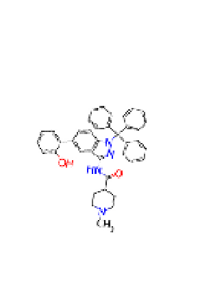 CN1CCC(C(=O)Nc2nn(C(c3ccccc3)(c3ccccc3)c3ccccc3)c3ccc(-c4ccccc4O)cc23)CC1